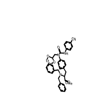 CCOC(CN(C(=O)Nc1ccc(C#N)cc1)c1ccc(CC(C(=O)OC)N(Cc2ccccc2)Cc2ccccc2)cc1)OCC